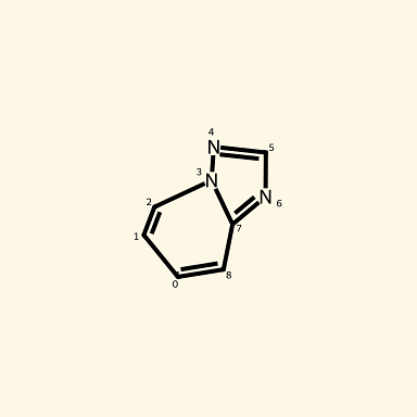 [c]1ccn2ncnc2c1